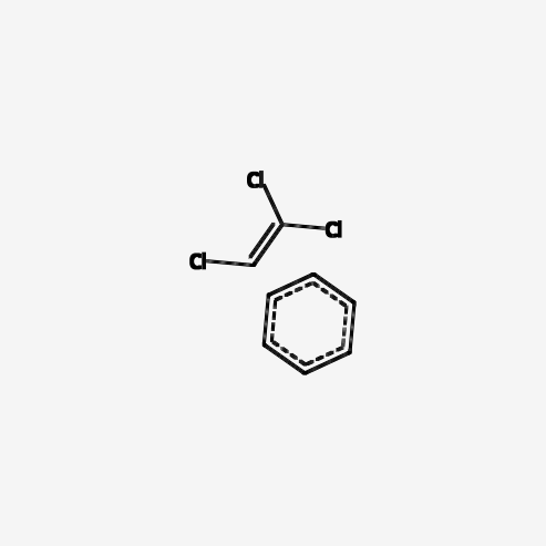 ClC=C(Cl)Cl.c1ccccc1